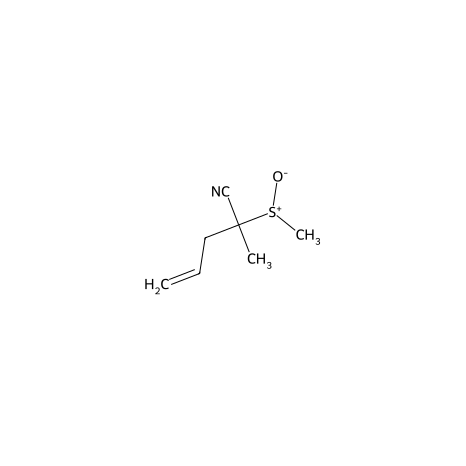 C=CCC(C)(C#N)[S+](C)[O-]